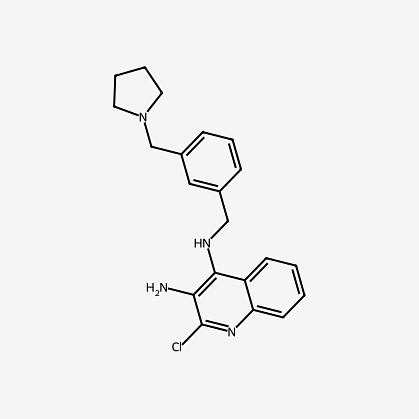 Nc1c(Cl)nc2ccccc2c1NCc1cccc(CN2CCCC2)c1